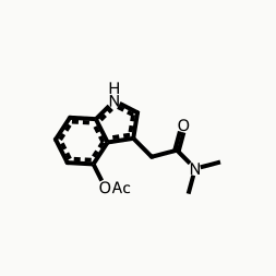 CC(=O)Oc1cccc2[nH]cc(CC(=O)N(C)C)c12